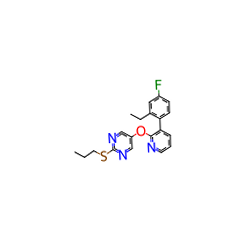 CCCSc1ncc(Oc2ncccc2-c2ccc(F)cc2CC)cn1